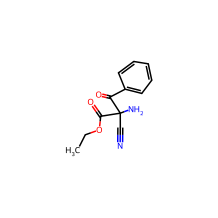 CCOC(=O)C(N)(C#N)C(=O)c1ccccc1